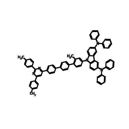 Cc1ccc(-c2cc(-c3ccc(-c4ccc(-c5ccc(-n6c7ccc(N(c8ccccc8)c8ccccc8)cc7c7cc(N(c8ccccc8)c8ccccc8)ccc76)cc5C)cc4)cc3)nc(-c3ccc(C)cc3)n2)cc1